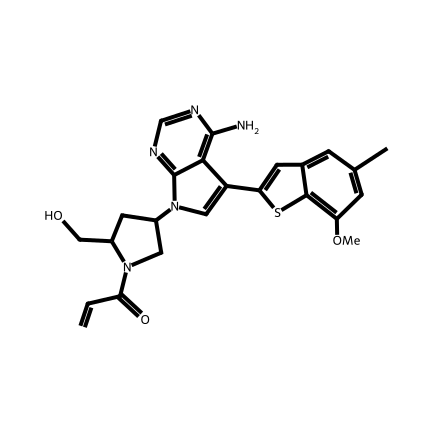 C=CC(=O)N1CC(n2cc(-c3cc4cc(C)cc(OC)c4s3)c3c(N)ncnc32)CC1CO